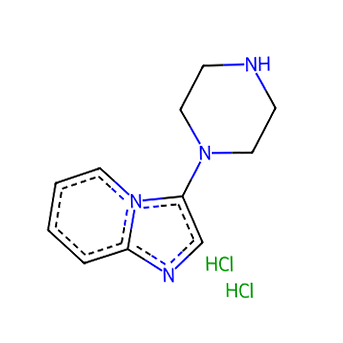 Cl.Cl.c1ccn2c(N3CCNCC3)cnc2c1